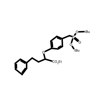 CCOC(=O)C(CCc1ccccc1)Oc1ccc(CP(=O)(OC(C)(C)C)OC(C)(C)C)cc1